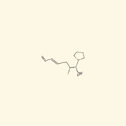 C=CC=CCC(C)C(O)C1CCCC1